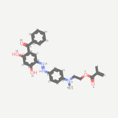 C=C(C)C(=O)OCCN(CC)c1ccc(N=Nc2cc(C(=O)c3ccccc3)c(O)cc2O)cc1